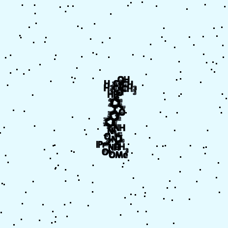 COC(=O)NC(C(=O)N1[C@@H](C)CC[C@H]1c1nc2ccc3cc4c(cc3c2[nH]1)OCc1cc(BOC(C)(C)C(C)(C)O)ccc1-4)C(C)C